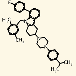 Cc1ccc(C)c(Cn2c3c(c4cccc(-c5ccc(F)cc5)c42)CC(N2CCN(c4ccc(C(C)C)cc4)CC2)CC3)c1